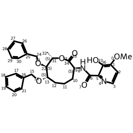 COc1ccnc(C(=O)N[C@H]2CCC[C@H](OCc3ccccc3)[C@@H](OCc3ccccc3)[C@H](C)OC2=O)c1O